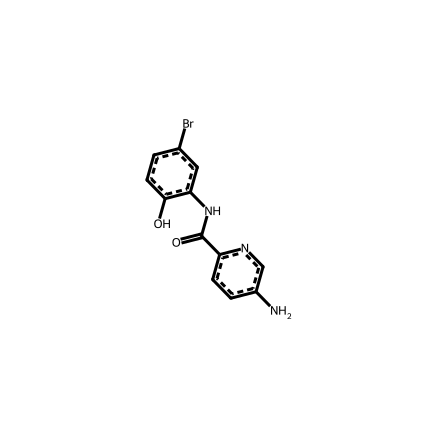 Nc1ccc(C(=O)Nc2cc(Br)ccc2O)nc1